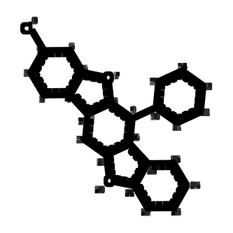 Clc1ccc2c(c1)oc1c(-c3ccccc3)c3c(cc12)oc1ccccc13